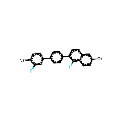 CCc1ccc2c(F)c(-c3ccc(-c4ccc(C#N)c(F)c4)cc3)ccc2c1